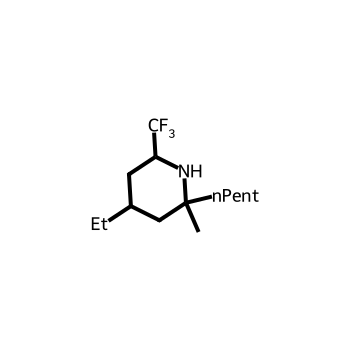 CCCCCC1(C)CC(CC)CC(C(F)(F)F)N1